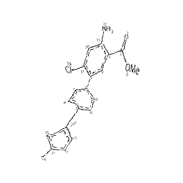 COC(=O)c1cc(-c2ccc(-c3ccc(C)s3)cc2)c(Cl)cc1N